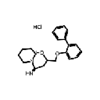 Cl.N=C(CC(O)COc1ccccc1-c1ccccc1)N1CCCCC1